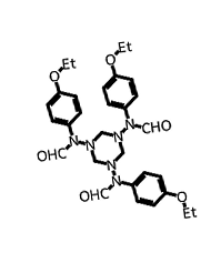 CCOc1ccc(N(C=O)N2CN(N(C=O)c3ccc(OCC)cc3)CN(N(C=O)c3ccc(OCC)cc3)C2)cc1